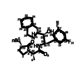 CCCC[C@H]1CCN([C@@H](C)C(=O)N[C@@H](Cc2cc(F)cc(F)c2)[C@@H](O)[C@H]2Cc3ccccc3CN2)C1=O